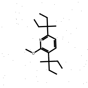 CCC(C)(CC)c1ccc(C(C)(CC)CC)c(OC)n1